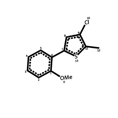 COc1ccccc1-c1cc(Cl)c(C)s1